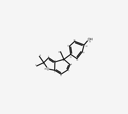 CC1(C)C=C2C(=CC=CC2(C)c2ccc(O)cc2)O1